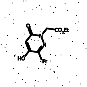 CCOC(=O)Cn1nc(C(C)C)c(O)cc1=O